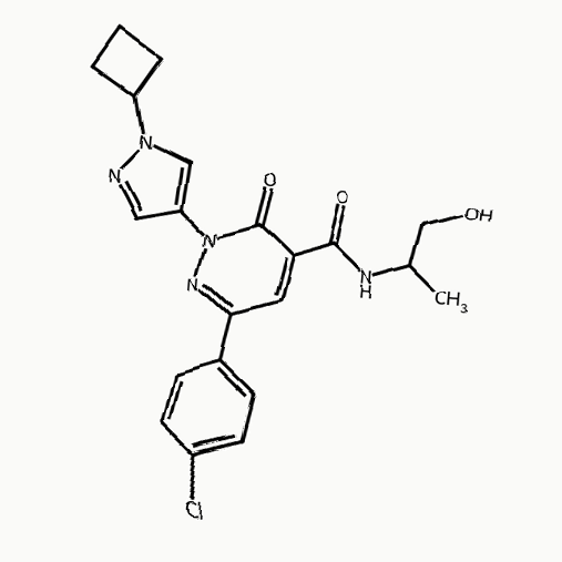 CC(CO)NC(=O)c1cc(-c2ccc(Cl)cc2)nn(-c2cnn(C3CCC3)c2)c1=O